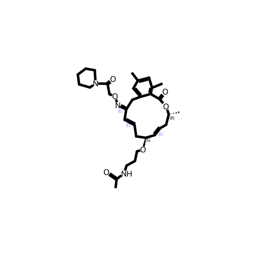 CC(=O)NCCCO[C@@H]1/C=C/C[C@@H](C)OC(=O)c2c(C)cc(C)cc2CC(=N\OCC(=O)N2CCCCC2)/C=C/C1